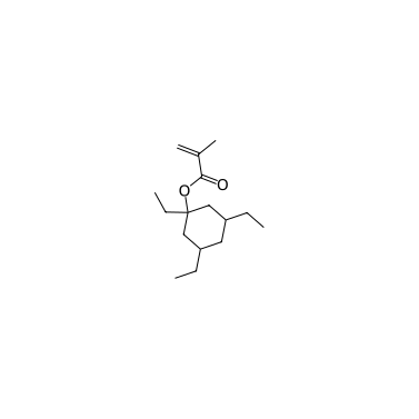 C=C(C)C(=O)OC1(CC)CC(CC)CC(CC)C1